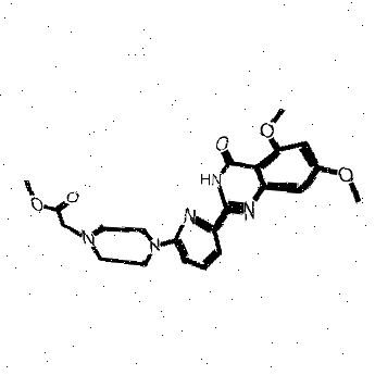 COC(=O)CN1CCN(c2cccc(-c3nc4cc(OC)cc(OC)c4c(=O)[nH]3)n2)CC1